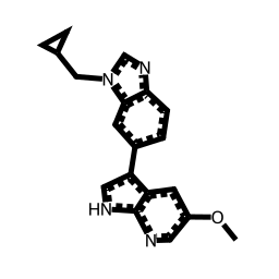 COc1cnc2[nH]cc(-c3ccc4ncn(CC5CC5)c4c3)c2c1